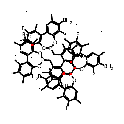 Bc1c(C)cc2c(op(Cc3c(C)c(C)c(N)c(Cp4oc5cc(C)c(F)c(C)c5c5cc(C)c(B)c(C)c5o4)c3-c3c(Cp4oc5cc(C)c(F)c(C)c5c5cc(C)c(B)c(C)c5o4)[c]([K])c(C)c(I)c3Cp3oc4cc(C)c(F)c(C)c4c4cc(C)c(B)c(C)c4o3)oc3cc(C)c(F)c(C)c32)c1C